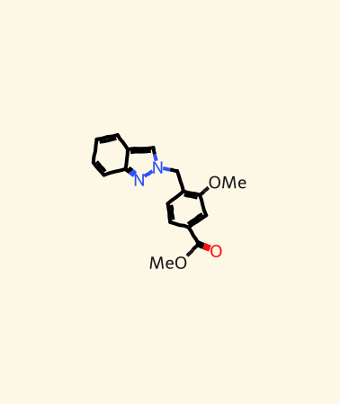 COC(=O)c1ccc(Cn2cc3ccccc3n2)c(OC)c1